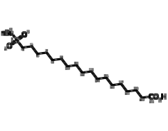 CCCCS(=O)(=O)CCCCCCCCCCCCCCCCCC(=O)O